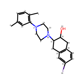 Cc1ccc(C)c(N2CCN(C3Cc4cc(I)ccc4CC3O)CC2)c1